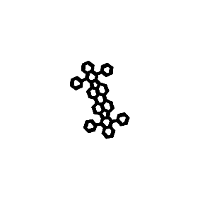 c1ccc(-c2c3c(c(-c4ccccc4)c4ccccc24)=c2ccc4c5ccc6c7c(ccc(c8ccc=3c2c84)c75)=c2c(-c3ccccc3)c3ccccc3c(-c3ccccc3)c2=6)cc1